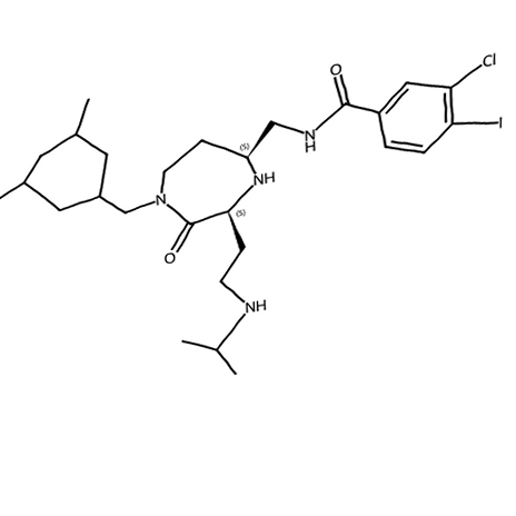 CC1CC(C)CC(CN2CC[C@@H](CNC(=O)c3ccc(I)c(Cl)c3)N[C@@H](CCNC(C)C)C2=O)C1